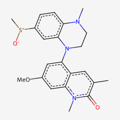 COc1cc(N2CCN(C)c3ccc([S+](C)[O-])cc32)c2cc(C)c(=O)n(C)c2c1